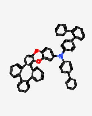 c1ccc(-c2ccc(N(c3ccc(-c4ccccc4-c4ccccc4)cc3)c3ccc4oc5ccc6c7ccccc7c7ccccc7c7ccccc7c6c5oc4c3)cc2)cc1